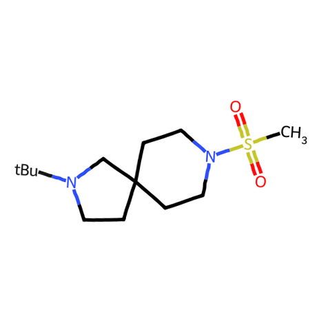 CC(C)(C)N1CCC2(CCN(S(C)(=O)=O)CC2)C1